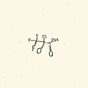 O=S(O)C(Cl)(Cl)C(F)(F)F